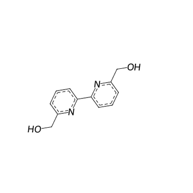 OCc1cccc(-c2cccc(CO)n2)n1